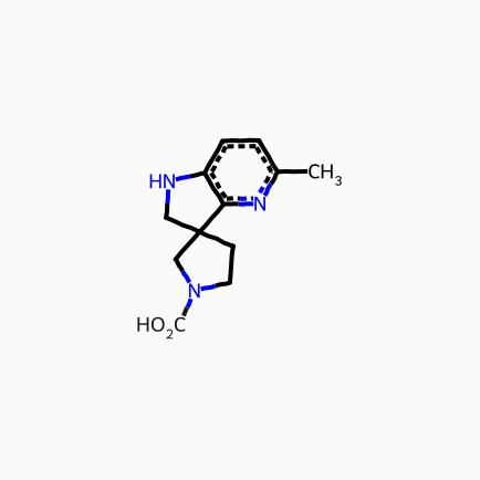 Cc1ccc2c(n1)C1(CCN(C(=O)O)C1)CN2